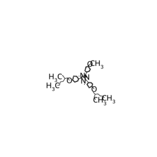 CCCCC(CC)COc1c[c]c(-c2nc(-c3[c]cc(OCC(CC)CCCC)cc3)nc(-c3ccc(OC)cc3)n2)cc1